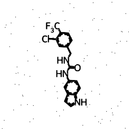 O=C(NCc1ccc(C(F)(F)F)c(Cl)c1)Nc1ccc2[nH]ccc2c1